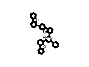 C1=CCC(C2=NC(c3cccc4c3oc3cc(-c5cccc6c5oc5ccccc56)ccc34)NC(C3=CC=CC4c5ccccc5OC34)=C2)C=C1